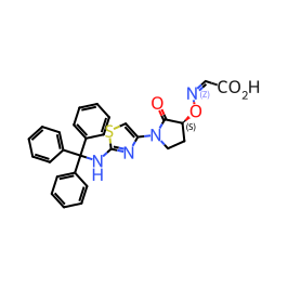 O=C(O)/C=N\O[C@H]1CCN(c2csc(NC(c3ccccc3)(c3ccccc3)c3ccccc3)n2)C1=O